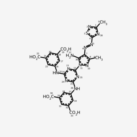 Cc1nsc(/N=N/c2c(C)nn(-c3nc(Nc4cc(C(=O)O)cc(C(=O)O)c4)nc(Nc4cc(C(=O)O)cc(C(=O)O)c4)n3)c2N)n1